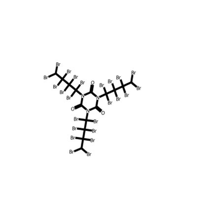 O=c1n(C(Br)(Br)C(Br)(Br)C(Br)(Br)C(Br)Br)c(=O)n(C(Br)(Br)C(Br)(Br)C(Br)(Br)C(Br)Br)c(=O)n1C(Br)(Br)C(Br)(Br)C(Br)(Br)C(Br)Br